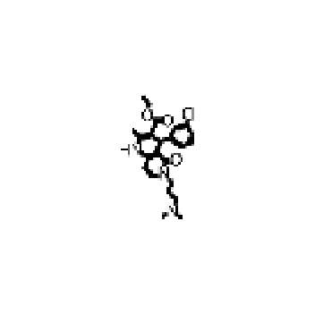 CCOC(=O)C1=C(C)Nc2ccn(CCCN(C)C)c(=O)c2C1c1cccc(Cl)c1